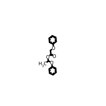 CC(OC(=O)COc1ccccc1)Oc1ccccc1